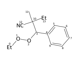 CCOOC(c1ccccc1)C(C)(C#N)CC